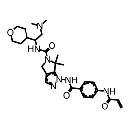 C=CC(=O)Nc1ccc(C(=O)Nn2ncc3c2C(C)(C)N(C(=O)NC(CN(C)C)C2CCOCC2)C3)cc1